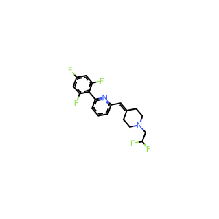 Fc1cc(F)c(-c2cccc(C=C3CCN(CC(F)F)CC3)n2)c(F)c1